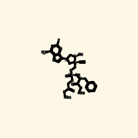 C#C[C@]1(CO[P@@](=O)(N[C@@H](Cc2ccccc2)C(=O)OCCCCCCCC)OCC(=O)OCCCCCCCC)O[C@@H](n2cnc3c(N)nc(F)nc32)C[C@@H]1O